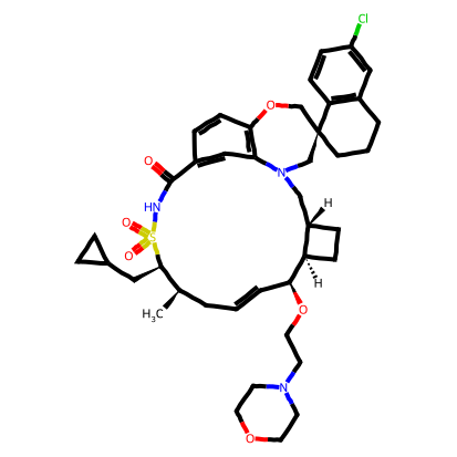 C[C@@H]1C/C=C/[C@H](OCCN2CCOCC2)[C@@H]2CC[C@H]2CN2C[C@@]3(CCCc4cc(Cl)ccc43)COc3ccc(cc32)C(=O)NS(=O)(=O)[C@@H]1CC1CC1